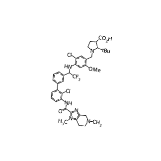 COc1cc(NC(c2cccc(-c3cccc(NC(=O)c4nc5c(n4C)CCN(C)C5)c3Cl)c2)C(F)(F)F)c(Cl)cc1CN1CCC(C(=O)O)C1C(C)(C)C